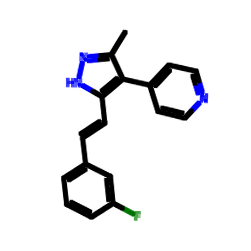 Cc1n[nH]c(C=Cc2cccc(F)c2)c1-c1ccncc1